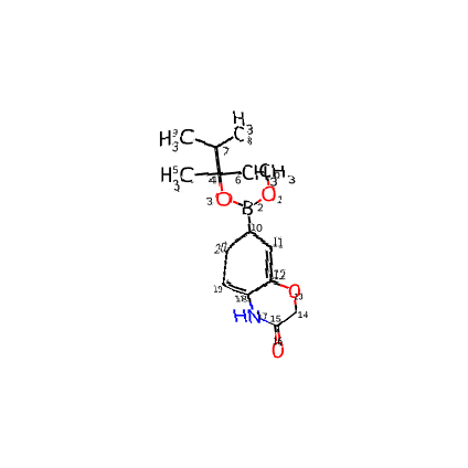 COB(OC(C)(C)C(C)C)C1C=C2OCC(=O)NC2=CC1